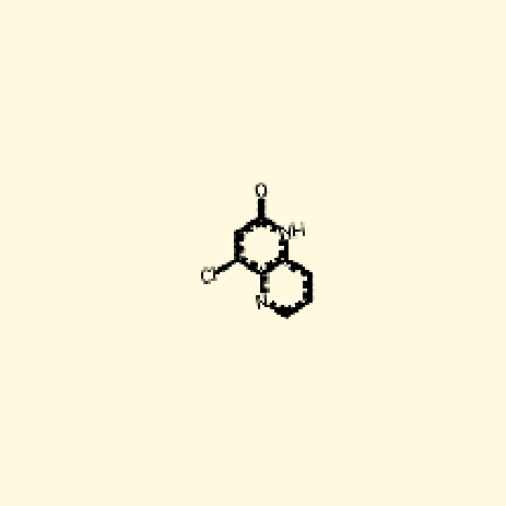 O=c1cc(Cl)c2ncccc2[nH]1